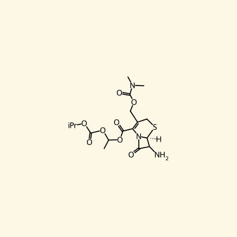 CC(C)OC(=O)OC(C)OC(=O)C1=C(COC(=O)N(C)C)CS[C@H]2C(N)C(=O)N12